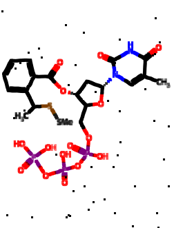 CSSC(C)c1ccccc1C(=O)O[C@@H]1C[C@H](n2cc(C)c(=O)[nH]c2=O)OC1COP(=O)(O)OP(=O)(O)OP(=O)(O)O